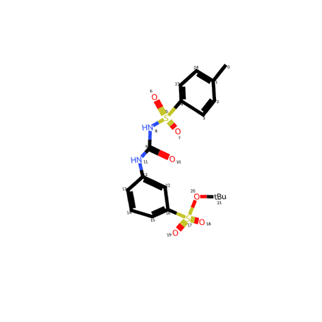 Cc1ccc(S(=O)(=O)NC(=O)Nc2cccc(S(=O)(=O)OC(C)(C)C)c2)cc1